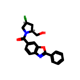 O=C(c1ccc2nc(-c3ccccc3)oc2c1)N1C[C@@H](F)C[C@H]1CO